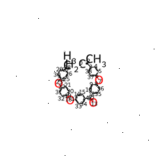 C=C(C)c1ccc(Oc2ccc(C(=O)c3ccc(Oc4ccc(Oc5ccc(C)cc5)cc4)cc3)cc2)cc1